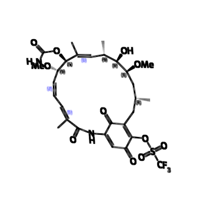 CO[C@H]1/C=C\C=C(/C)C(=O)NC2=CC(=O)C(OS(=O)(=O)C(F)(F)F)=C(C[C@@H](C)C[C@H](OC)[C@H](O)[C@@H](C)/C=C(\C)[C@@H]1OC(N)=O)C2=O